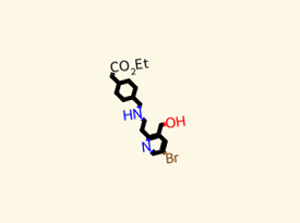 CCOC(=O)CC1CCC(CNCCc2ncc(Br)cc2CO)CC1